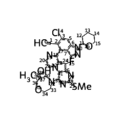 C#Cc1c(Cl)cc2c(cnn2C2CCCCO2)c1-c1nccn2c1c(F)c1nc(SC)nc(N3CCOC[C@@](C)(O)C3)c12